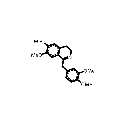 COc1ccc(CC2=NCCc3cc(OC)c(OC)cc32)cc1OC